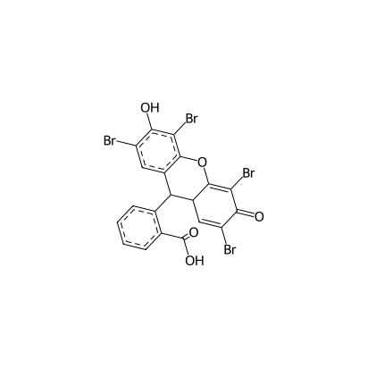 O=C1C(Br)=CC2C(=C1Br)Oc1c(cc(Br)c(O)c1Br)C2c1ccccc1C(=O)O